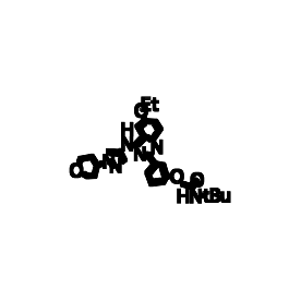 CCOc1ccc2nc(-c3cccc(OCC(=O)NC(C)(C)C)c3)nc(Nc3cnn(C4CCOCC4)c3)c2c1